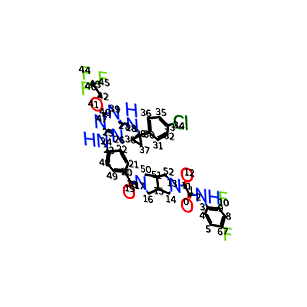 O=C(Nc1ccc(F)cc1F)C(=O)N1CC2CN(C(=O)c3ccc(Nc4nc(NC5(c6ccc(Cl)cc6)CC5)nc(OCC(F)(F)F)n4)cc3)CC2C1